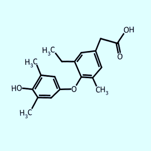 CCc1cc(CC(=O)O)cc(C)c1Oc1cc(C)c(O)c(C)c1